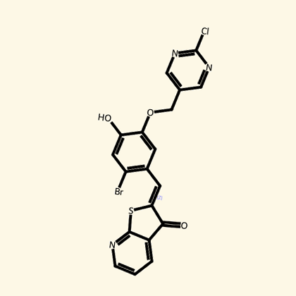 O=C1/C(=C/c2cc(OCc3cnc(Cl)nc3)c(O)cc2Br)Sc2ncccc21